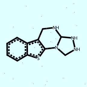 c1ccc2c3c(sc2c1)N1CNNC1NC3